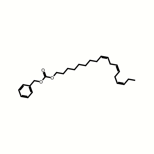 CC/C=C\C/C=C\C/C=C\CCCCCCCCOC(=O)OCc1ccccc1